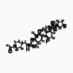 CC(=O)N1CCC(CNc2ncc3cc(-c4c(F)ccc(NS(=O)(=O)N5CC[C@@H](F)C5)c4F)c(=O)n(C)c3n2)CC1